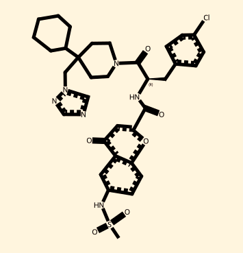 CS(=O)(=O)Nc1ccc2oc(C(=O)N[C@H](Cc3ccc(Cl)cc3)C(=O)N3CCC(Cn4cncn4)(C4CCCCC4)CC3)cc(=O)c2c1